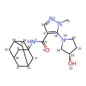 Cn1ncc(C(=O)NC23CC4CC(CC(C4)C2)C3)c1N1CC[C@@H](O)C1